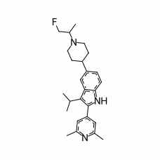 Cc1cc(-c2[nH]c3ccc(C4CCN(C(C)CF)CC4)cc3c2C(C)C)cc(C)n1